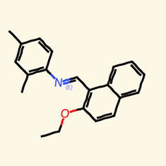 CCOc1ccc2ccccc2c1/C=N/c1ccc(C)cc1C